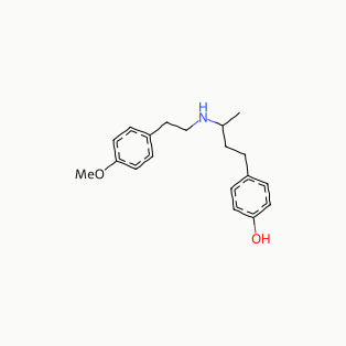 COc1ccc(CCNC(C)CCc2ccc(O)cc2)cc1